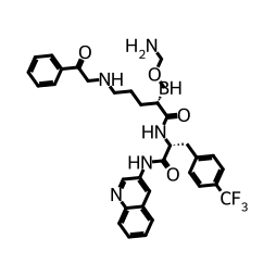 NCOB[C@@H](CCCNCC(=O)c1ccccc1)C(=O)N[C@H](Cc1ccc(C(F)(F)F)cc1)C(=O)Nc1cnc2ccccc2c1